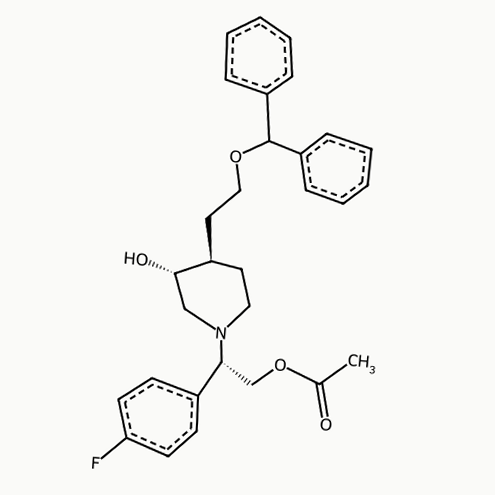 CC(=O)OC[C@H](c1ccc(F)cc1)N1CC[C@H](CCOC(c2ccccc2)c2ccccc2)[C@@H](O)C1